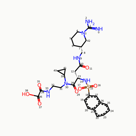 N=C(N)N1CCC[C@@H](CNC(=O)C[C@H](NS(=O)(=O)c2ccc3ccccc3c2)C(=O)N(CCNC(=O)C(=O)O)C2CC2)C1